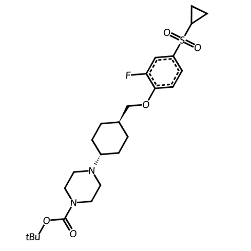 CC(C)(C)OC(=O)N1CCN([C@H]2CC[C@H](COc3ccc(S(=O)(=O)C4CC4)cc3F)CC2)CC1